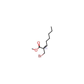 CCCCC/C=C(/CBr)C(=O)OC